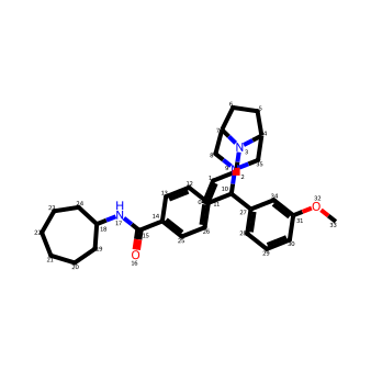 C=CCN1C2CCC1CN(C(c1ccc(C(=O)NC3CCCCCC3)cc1)c1cccc(OC)c1)C2